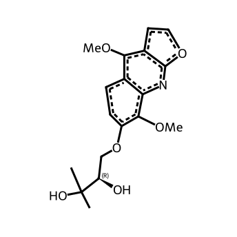 COc1c2ccoc2nc2c(OC)c(OC[C@@H](O)C(C)(C)O)ccc12